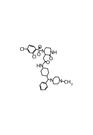 CN1CCN(C(c2ccccc2)C2CCC(NC(=O)CC3C(=O)NCCN3S(=O)(=O)c3ccc(Cl)cc3Cl)CC2)CC1